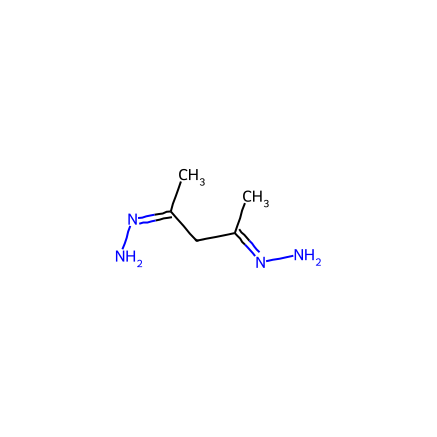 C/C(C/C(C)=N/N)=N/N